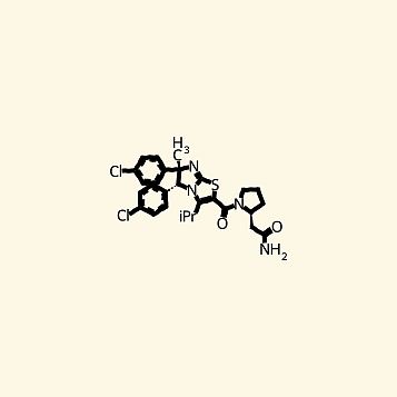 CC(C)C1=C(C(=O)N2CCC[C@H]2CC(N)=O)SC2=N[C@@](C)(c3ccc(Cl)cc3)[C@@H](c3ccc(Cl)cc3)N21